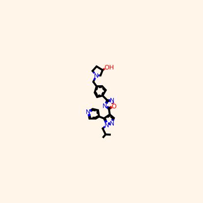 CC(C)Cn1ncc(-c2nc(-c3ccc(CN4CCC(O)C4)cc3)no2)c1-c1ccncc1